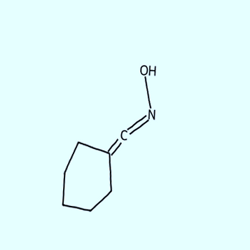 ON=C=C1CCCCC1